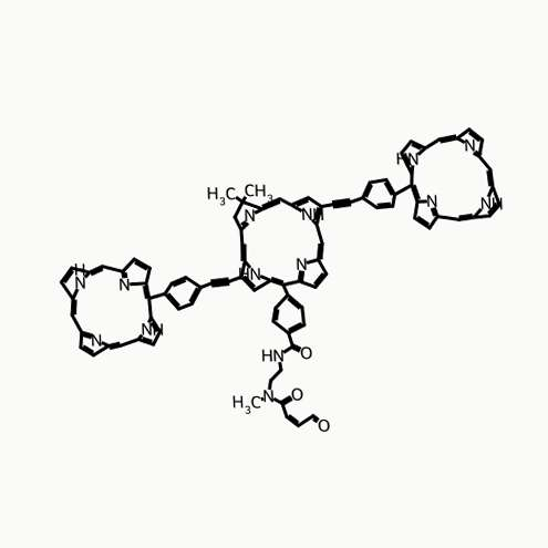 CN(CCNC(=O)c1ccc(-c2c3nc(cc4[nH]c(cc5nc(cc6[nH]c2cc6C#Cc2ccc(-c6c7nc(cc8ccc(cc9nc(cc%10ccc6[nH]%10)C=C9)[nH]8)C=C7)cc2)CC5(C)C)cc4C#Cc2ccc(-c4c5nc(cc6ccc(cc7nc(cc8ccc4[nH]8)C=C7)[nH]6)C=C5)cc2)C=C3)cc1)C(=O)/C=C\C=O